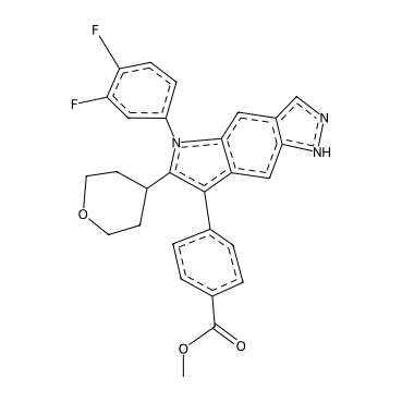 COC(=O)c1ccc(-c2c(C3CCOCC3)n(-c3ccc(F)c(F)c3)c3cc4cn[nH]c4cc23)cc1